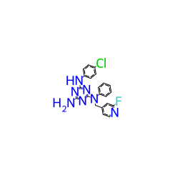 Nc1nc(Nc2ccc(Cl)cc2)nc(N(Cc2ccnc(F)c2)c2ccccc2)n1